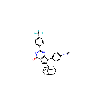 [C-]#[N+]c1ccc(C2C(C34CC5CC(CC(C5)C3)C4)=Cc3c2nc(-c2ccc(C(F)(F)F)cc2)[nH]c3=O)cc1